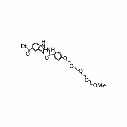 CCC(=O)c1ccc2[nH]c(NC(=O)c3ccc(OCCOCCOCCOCCOC)cc3)nc2c1